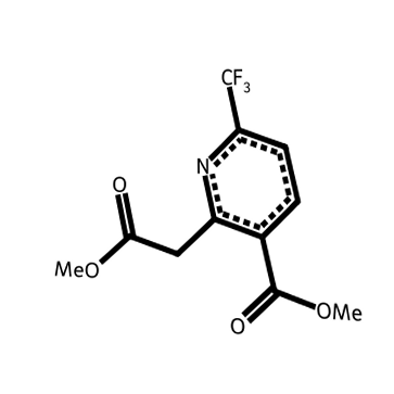 COC(=O)Cc1nc(C(F)(F)F)ccc1C(=O)OC